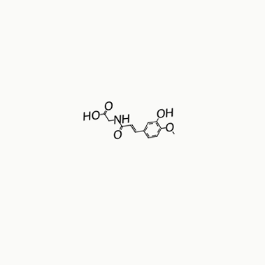 COc1ccc(C=CC(=O)NCC(=O)O)cc1O